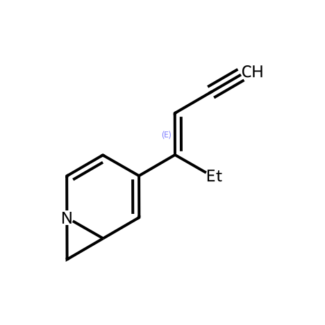 C#C/C=C(\CC)C1=CC2CN2C=C1